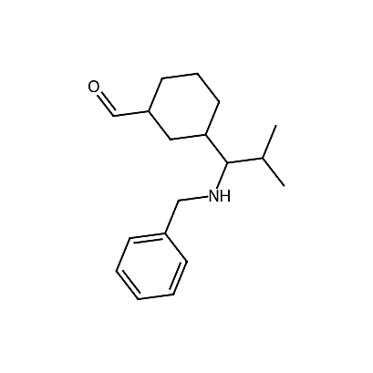 CC(C)C(NCc1ccccc1)C1CCCC(C=O)C1